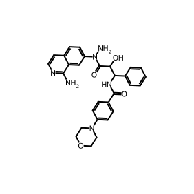 Nc1nccc2ccc(N(N)C(=O)C(O)C(NC(=O)c3ccc(N4CCOCC4)cc3)c3ccccc3)cc12